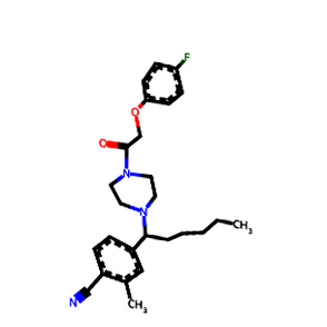 CCCCCC(c1ccc(C#N)c(C)c1)N1CCN(C(=O)COc2ccc(F)cc2)CC1